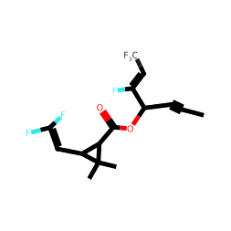 CC#CC(OC(=O)C1C(C=C(F)F)C1(C)C)/C(F)=C/C(F)(F)F